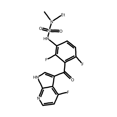 CCN(C)S(=O)(=O)Nc1ccc(F)c(C(=O)c2c[nH]c3nccc(F)c23)c1F